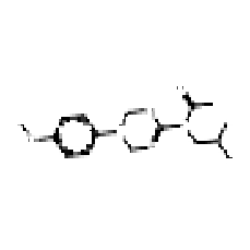 COc1ccc(N2CN=C(N(CC(C)C)C(C)=O)NC2)cc1